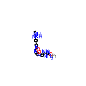 CC(C)Oc1ccc(C(=N)c2cc(N3CC[C@]4(CCN(CC(=O)N5CC=C(c6ccc(C(=N)/N=C\NC7CC7)cc6)CC5)C4)C3=O)ccc2N)cn1